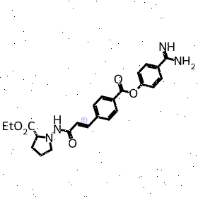 CCOC(=O)C1CCCN1NC(=O)/C=C/c1ccc(C(=O)Oc2ccc(C(=N)N)cc2)cc1